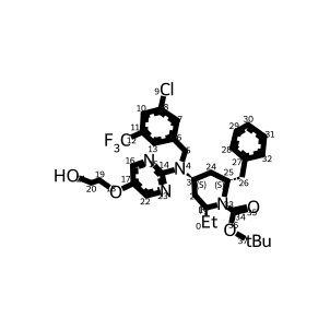 CC[C@@H]1C[C@H](N(Cc2cc(Cl)cc(C(F)(F)F)c2)c2ncc(OCCO)cn2)C[C@H](Cc2ccccc2)N1C(=O)OC(C)(C)C